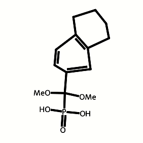 COC(OC)(c1ccc2c(c1)CCCC2)P(=O)(O)O